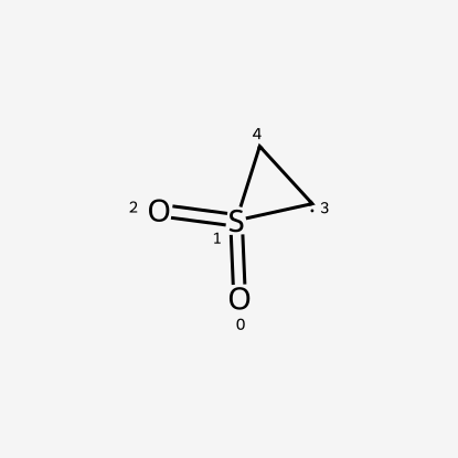 O=S1(=O)[CH]C1